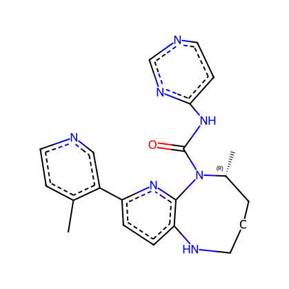 Cc1ccncc1-c1ccc2c(n1)N(C(=O)Nc1ccncn1)[C@H](C)CCCN2